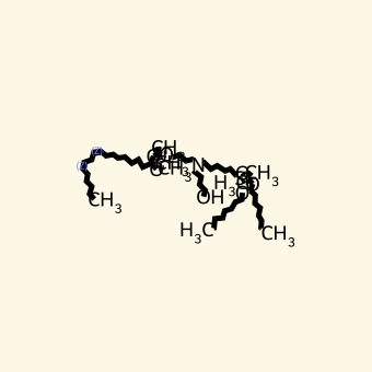 CCCCC/C=C\C/C=C\CCCCCCCC(OC)O[Si](C)(C)OCCCCN(CCCCO)CCCCCCO[Si](C)(C)OC(CCCCCCC)OCCCCCCCC